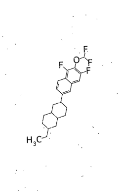 CCC1CCC2CC(c3ccc4c(F)c(OC(F)F)c(F)cc4c3)CCC2C1